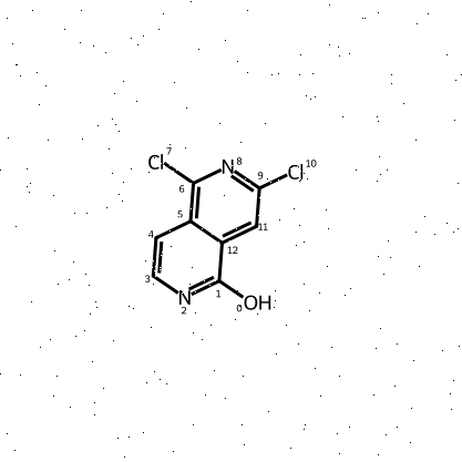 Oc1nccc2c(Cl)nc(Cl)cc12